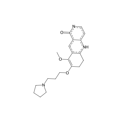 COC1=C(OCCCN2CCCC2)CCc2[nH]c3ccnc(=O)c-3cc21